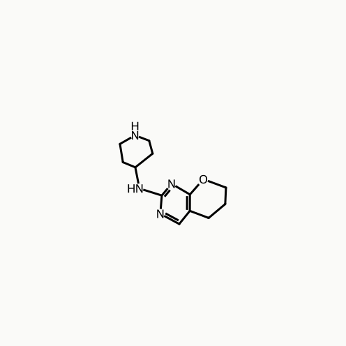 c1nc(NC2CCNCC2)nc2c1CCCO2